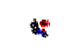 CCN(CC)C(=O)Nn1cc2c3c(cccc31)C1CCCN(CC)[C@@H]1C2.O=P(O)(O)O